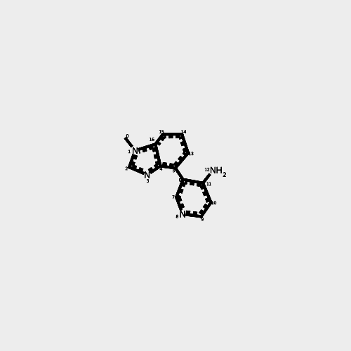 Cn1cnc2c(-c3cnccc3N)cccc21